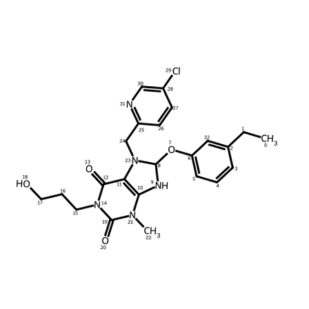 CCc1cccc(OC2Nc3c(c(=O)n(CCCO)c(=O)n3C)N2Cc2ccc(Cl)cn2)c1